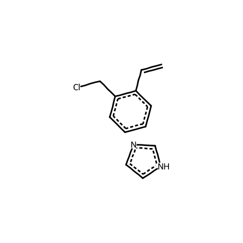 C=Cc1ccccc1CCl.c1c[nH]cn1